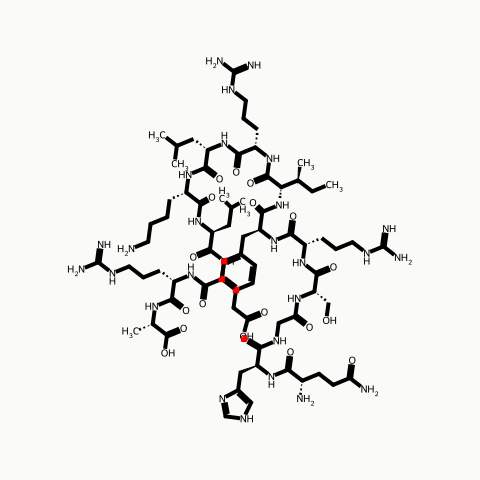 CC[C@H](C)[C@H](NC(=O)[C@H](Cc1ccccc1)NC(=O)[C@H](CCCNC(=N)N)NC(=O)[C@H](CO)NC(=O)CNC(=O)[C@H](Cc1c[nH]cn1)NC(=O)[C@@H](N)CCC(N)=O)C(=O)N[C@@H](CCCNC(=N)N)C(=O)N[C@@H](CC(C)C)C(=O)N[C@@H](CCCCN)C(=O)N[C@@H](CC(C)C)C(=O)N[C@@H](CCC(=O)O)C(=O)N[C@@H](CCCNC(=N)N)C(=O)N[C@@H](C)C(=O)O